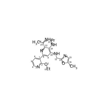 CCOc1ncccc1-c1cc(NCc2ncc(C)o2)c(NC(C)C)c(C(C)=N)n1